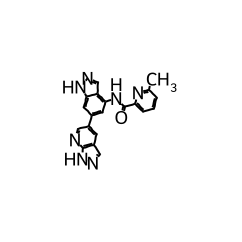 Cc1cccc(C(=O)Nc2cc(-c3cnc4[nH]ncc4c3)cc3[nH]ncc23)n1